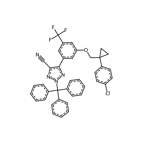 N#Cc1nn(C(c2ccccc2)(c2ccccc2)c2ccccc2)nc1-c1cc(OCC2(c3ccc(Cl)cc3)CC2)cc(C(F)(F)F)c1